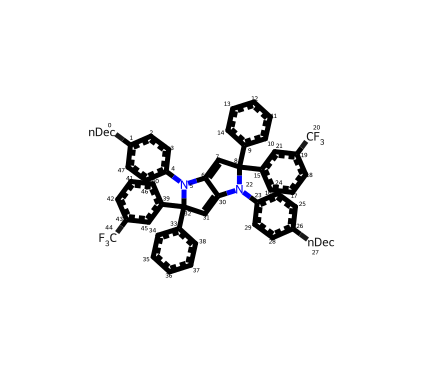 CCCCCCCCCCc1ccc(N2C3=CC(c4ccccc4)(c4cccc(C(F)(F)F)c4)N(c4ccc(CCCCCCCCCC)cc4)C3=CC2(c2ccccc2)c2cccc(C(F)(F)F)c2)cc1